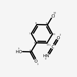 N=C=O.O=C(O)c1ccc(Cl)cc1